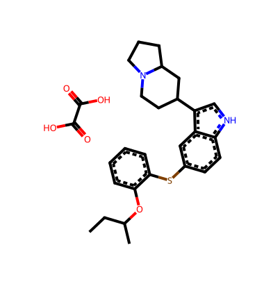 CCC(C)Oc1ccccc1Sc1ccc2[nH]cc(C3CCN4CCCC4C3)c2c1.O=C(O)C(=O)O